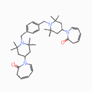 CC1(C)CC(N2C=CC=CCC2=O)CC(C)(C)N1Cc1ccc(CN2C(C)(C)CC(N3C=CC=CCC3=O)CC2(C)C)cc1